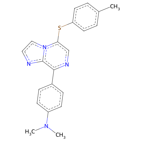 Cc1ccc(Sc2cnc(-c3ccc(N(C)C)cc3)c3nccn23)cc1